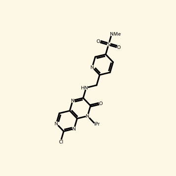 CNS(=O)(=O)c1ccc(CNc2nc3cnc(Cl)nc3n(C(C)C)c2=O)nc1